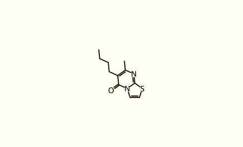 CCCCc1c(C)nc2sccn2c1=O